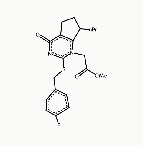 CCCC1CCc2c1n(CC(=O)OC)c(SCc1ccc(F)cc1)nc2=O